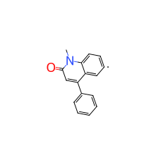 Cn1c(=O)cc(-c2ccccc2)c2c[c]ccc21